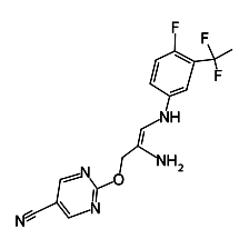 CC(F)(F)c1cc(N/C=C(\N)COc2ncc(C#N)cn2)ccc1F